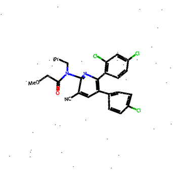 COCC(=O)N(CC(C)C)c1nc(-c2ccc(Cl)cc2Cl)c(-c2ccc(Cl)cc2)cc1C#N